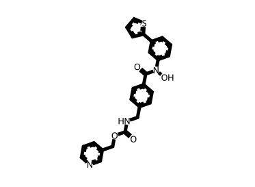 O=C(NCc1ccc(C(=O)N(O)c2cccc(-c3cccs3)c2)cc1)OCc1cccnc1